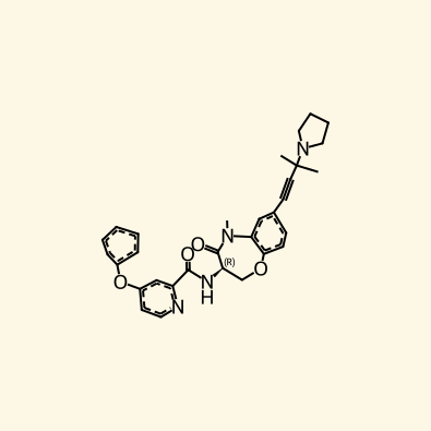 CN1C(=O)[C@H](NC(=O)c2cc(Oc3ccccc3)ccn2)COc2ccc(C#CC(C)(C)N3CCCC3)cc21